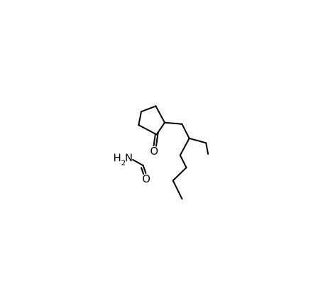 CCCCC(CC)CC1CCCC1=O.NC=O